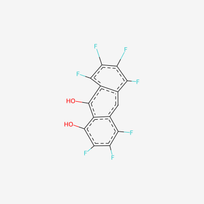 Oc1c(F)c(F)c(F)c2cc3c(F)c(F)c(F)c(F)c3c(O)c12